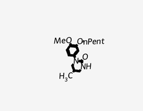 CCCCCOc1cc(N2CC(C)CNC2=O)ccc1OC